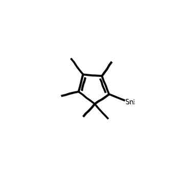 CC1=C(C)C(C)(C)[C]([Sn])=C1C